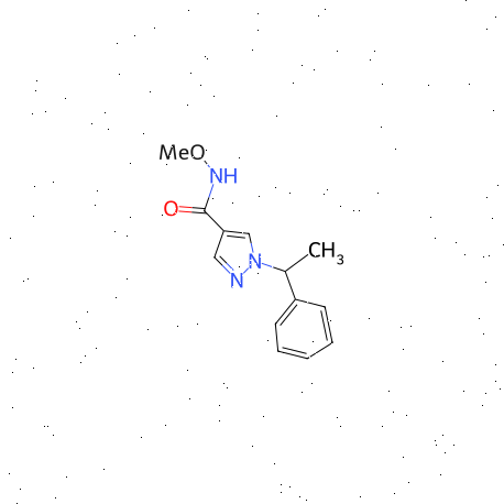 CONC(=O)c1cnn(C(C)c2ccccc2)c1